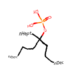 CCCCCCCCCCCCC(CCCCCCC)(CCCCCCCCCCCC)OP(=O)(O)O